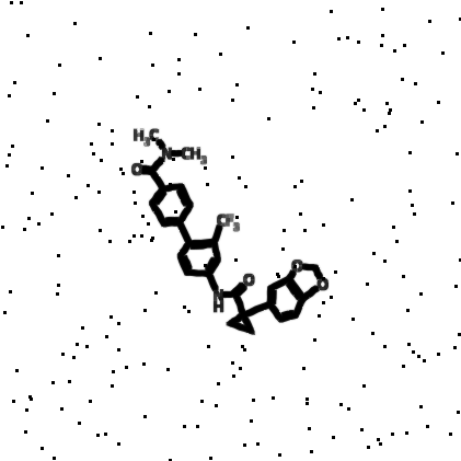 CN(C)C(=O)c1ccc(-c2ccc(NC(=O)C3(c4ccc5c(c4)OCO5)CC3)cc2C(F)(F)F)cc1